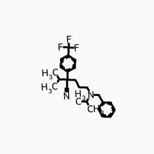 CC(C)N(CCCC(C#N)(c1ccc(C(F)(F)F)cc1)C(C)C)Cc1ccccc1